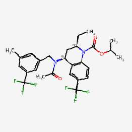 CC[C@@H]1C[C@H](N(Cc2cc(C)cc(C(F)(F)F)c2)C(C)=O)c2cc(C(F)(F)F)ccc2N1C(=O)OC(C)C